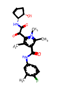 Cc1cc(NC(=O)c2c(C)c(C(=O)C(=O)N[C@@H]3CCC[C@@H]3O)n(C)c2C)ccc1F